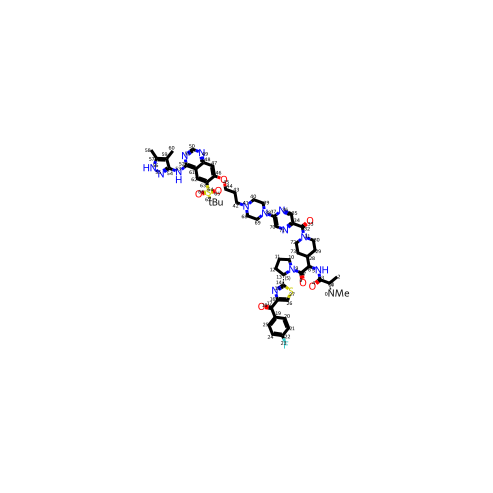 CN[C@@H](C)C(=O)NC(C(=O)N1CCC[C@H]1c1nc(C(=O)c2ccc(F)cc2)cs1)C1CCN(C(=O)c2cnc(N3CCN(CCCOc4cc5ncnc(Nc6n[nH]c(C)c6C)c5cc4S(=O)(=O)C(C)(C)C)CC3)cn2)CC1